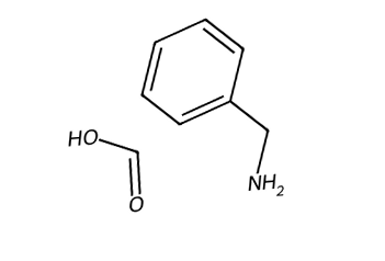 NCc1ccccc1.O=CO